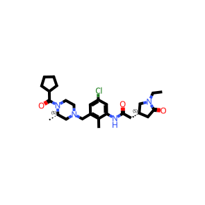 CCN1C[C@@H](CC(=O)Nc2cc(Cl)cc(CN3CCN(C(=O)C4CCCC4)[C@@H](C)C3)c2C)CC1=O